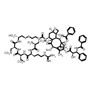 CC(=O)O[C@H]1C(=O)[C@@]2(C)C([C@H](OC(=O)c3ccccc3)[C@]3(O)C[C@H](OC(=O)[C@H](O)[C@@H](NC(=O)c4ccccc4)c4ccccc4)C(C)=C1C3(C)C)[C@]1(OC(C)=O)CO[C@@H]1C[C@@H]2OC(=O)OCCSSC[C@H](NC(=O)[C@H](CC(=O)O)NC(=O)[C@H](CC(=O)O)NC(=O)[C@H](CCCNC(=N)N)NC(=O)[C@@H](N)CC(=O)O)C(=O)O